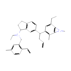 C=CCC(c1ccc2c(c1)C(N(CC)Cc1cc(C)ccc1C=C)CC2)c1cc(CC)c2c(c1C)N2C